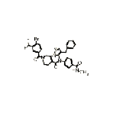 CNC(=O)c1ccc(-n2c(=O)c3c(n4ncc(Cc5ccccc5)c24)CN(C(=O)c2ccc(Br)c(C(F)F)c2)CC3)cc1